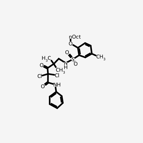 CCCCCCCCOc1ccc(C)cc1S(=O)(=O)NCC(C)(C)C(=O)C(Cl)(Cl)C(=O)Nc1ccccc1